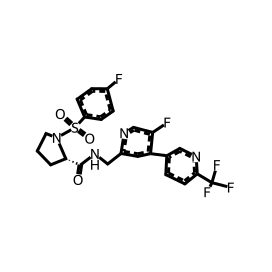 O=C(NCc1cc(-c2ccc(C(F)(F)F)nc2)c(F)cn1)[C@@H]1CCCN1S(=O)(=O)c1ccc(F)cc1